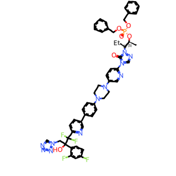 CC[C@@H]([C@H](C)OP(=O)(OCc1ccccc1)OCc1ccccc1)n1ncn(-c2ccc(N3CCN(c4ccc(-c5ccc(C(F)(F)C(O)(Cn6cnnn6)c6ccc(F)cc6F)nc5)cc4)CC3)cn2)c1=O